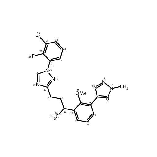 COc1c(-c2nnn(C)n2)cccc1C(C)CCc1ncn(-c2cccc(C(C)C)c2F)n1